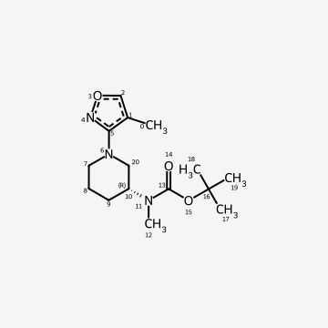 Cc1conc1N1CCC[C@@H](N(C)C(=O)OC(C)(C)C)C1